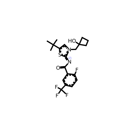 CC(C)(C)c1cn(CC2(O)CCC2)/c(=N/C(=O)c2cc(C(F)(F)F)ccc2F)s1